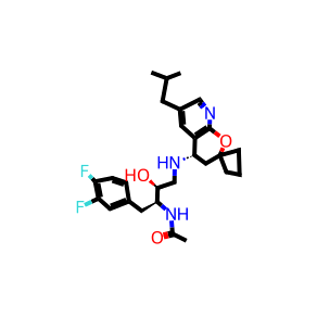 CC(=O)N[C@@H](Cc1ccc(F)c(F)c1)[C@@H](O)CN[C@H]1CC2(CCC2)Oc2ncc(CC(C)C)cc21